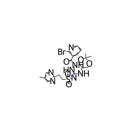 Cc1cnc(CCS(=O)(=O)/N=C(\NNC(=O)c2cccnc2Br)NC2COC(C)(C)OC2)nc1